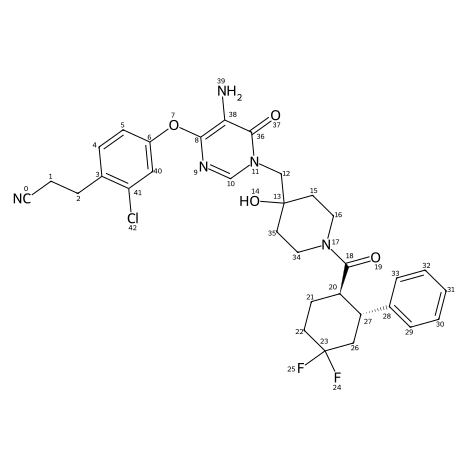 N#CCCc1ccc(Oc2ncn(CC3(O)CCN(C(=O)[C@@H]4CCC(F)(F)C[C@H]4c4ccccc4)CC3)c(=O)c2N)cc1Cl